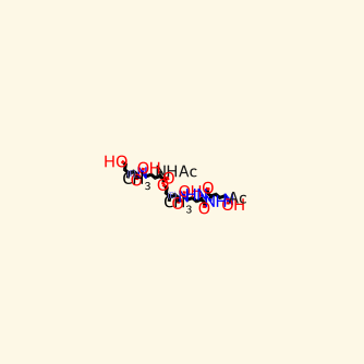 CC(=O)NC(CCCN(O)C(=O)/C=C(\C)CCO)C(=O)OCC/C(C)=C/C(=O)N(O)CCCC1NC(=O)C(CCCN(O)C(C)=O)NC1=O